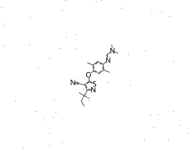 CCC(C)(C)c1nsc(Oc2cc(C)c(N=CN(C)C)cc2C)c1C#N